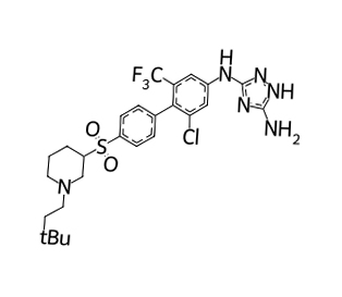 CC(C)(C)CCN1CCCC(S(=O)(=O)c2ccc(-c3c(Cl)cc(Nc4n[nH]c(N)n4)cc3C(F)(F)F)cc2)C1